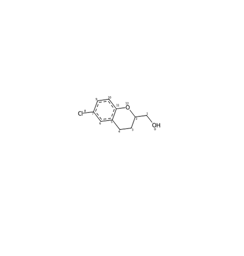 OCC1CCc2cc(Cl)ccc2O1